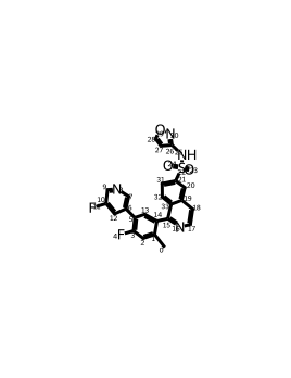 Cc1cc(F)c(-c2cncc(F)c2)cc1-c1nccc2cc(S(=O)(=O)Nc3ccon3)ccc12